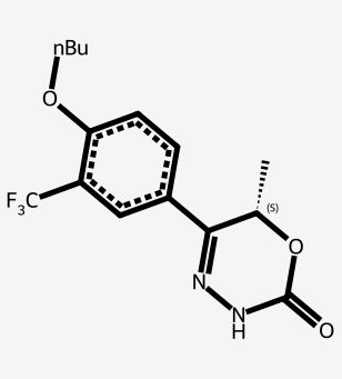 CCCCOc1ccc(C2=NNC(=O)O[C@H]2C)cc1C(F)(F)F